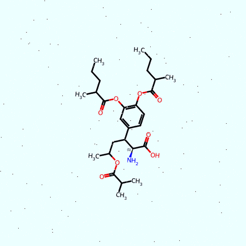 CCCC(C)C(=O)Oc1ccc(C(CC(C)OC(=O)C(C)C)[C@H](N)C(=O)O)cc1OC(=O)C(C)CCC